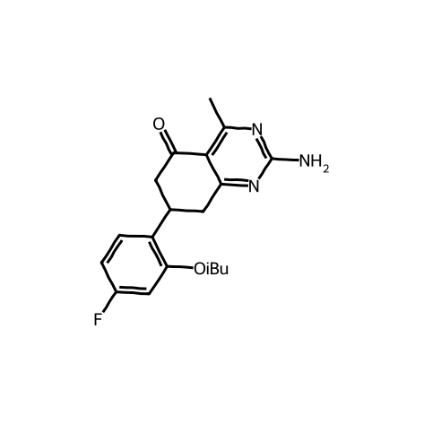 Cc1nc(N)nc2c1C(=O)CC(c1ccc(F)cc1OCC(C)C)C2